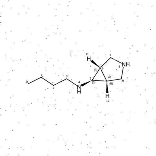 CCCCN[C@H]1[C@@H]2CNC[C@@H]21